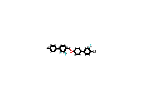 CCc1ccc(C2CCC(OCc3ccc(-c4ccc(C)cc4)c(F)c3F)CC2)cc1F